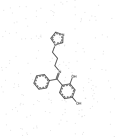 Oc1ccc(/C(=N/CCCn2ccnc2)c2ccccc2)c(O)c1